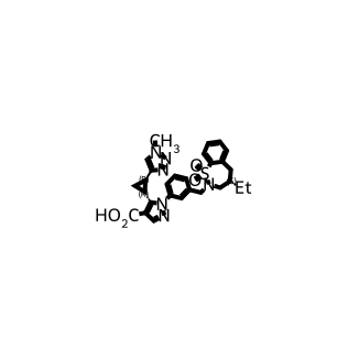 CC[C@H]1Cc2ccccc2S(=O)(=O)N(Cc2cccc(-n3ncc(C(=O)O)c3[C@@H]3C[C@H]3c3cn(C)nn3)c2)C1